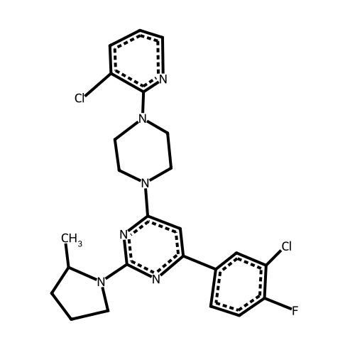 CC1CCCN1c1nc(-c2ccc(F)c(Cl)c2)cc(N2CCN(c3ncccc3Cl)CC2)n1